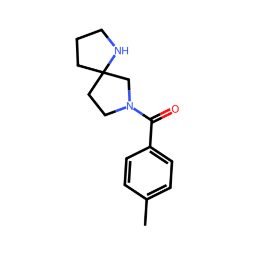 Cc1ccc(C(=O)N2CCC3(CCCN3)C2)cc1